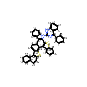 c1ccc(-c2nc(-n3c4ccccc4c4c5ccc6c(sc7ccc8ccccc8c76)c5c5c6ccccc6sc5c43)nc3ccccc23)cc1